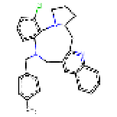 Cc1ccc(CN2Cc3cc4ccccc4nc3CC3CCCN3c3c(Cl)cccc32)cc1